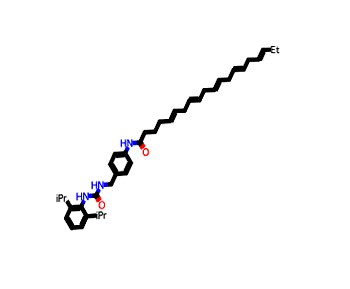 CC/C=C/C/C=C/C/C=C/C/C=C/C/C=C/CCCC(=O)Nc1ccc(CNC(=O)Nc2c(C(C)C)cccc2C(C)C)cc1